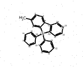 Cc1ccc2c(c1)[Si](c1ccccc1)(c1ccccc1)c1ccncc1-2